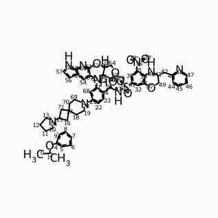 CC(C)Oc1ccccc1[C@@H]1CCCN1C1CC2(CCN(c3ccc(C(=O)NS(=O)(=O)c4cc5c(c([N+](=O)[O-])c4)N[C@@H](Cc4ccccn4)CO5)c(N4c5cc6cc[nH]c6nc5O[C@@H]5COC[C@H]54)c3)CC2)C1